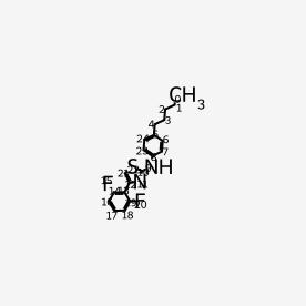 CCCCCc1ccc(Nc2nc(-c3c(F)cccc3F)cs2)cc1